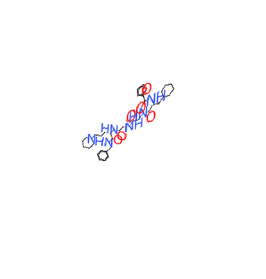 O=C(CNC(=O)[C@H](CC1CCCCC1)NC(=O)c1ccco1)NCC(=O)N[C@@H](CCCN1CCCCC1)C(=O)NCc1ccccc1